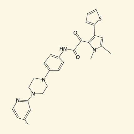 Cc1ccnc(N2CCN(c3ccc(NC(=O)C(=O)c4c(-c5cccs5)cc(C)n4C)cc3)CC2)c1